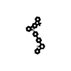 CC1(C)c2ccccc2-c2cc3c4ccccc4n(-c4ccc(-c5ccc(C6=C7Sc8ccccc8C7CC=C6)cc5)cc4)c3cc21